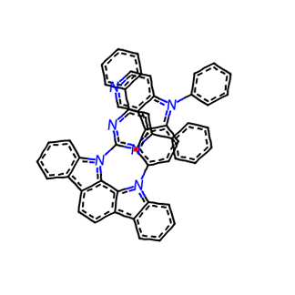 c1ccc(-c2cc(-c3ccccc3)nc(-n3c4ccccc4c4ccc5c6ccccc6n(-c6ccc7c(c6)c6cnccc6n7-c6ccccc6)c5c43)n2)cc1